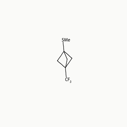 CSC12CC(C(F)(F)F)(C1)C2